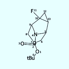 CC(C)(C)OC(=O)N1C2COCC1C1(F)CC21